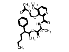 CCCCC(c1ccccc1)C(C)OC(=O)[C@H](C)NC(=O)c1nccc(OC)c1OCOC(C)=O